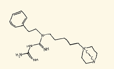 N=C(N)NC(=N)N(CCCCC[N+]12CCN(CC1)CC2)CCc1ccccc1